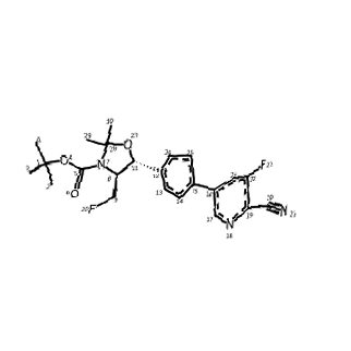 CC(C)(C)OC(=O)N1[C@H](CF)[C@@H](c2ccc(-c3cnc(C#N)c(F)c3)cc2)OC1(C)C